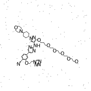 COCCOCCOCCOCCOCCCOc1nn([C@H]2CC[C@H](N3C[C@@H](C)O[C@@H](C)C3)CC2)cc1Nc1ncc(-c2ccc(C#N)c(O[C@@H](C)Cn3cnnn3)c2)cn1